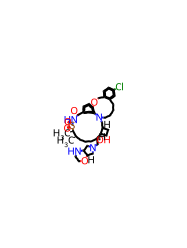 C[C@@H]1[C@@H](C)CCC[C@@](O)(CN2CC3NCCO[C@H]3C2)[C@@H]2CC[C@H]2CN2CCCCc3cc(Cl)ccc3COc3ccc(cc32)C(=O)NS1(=O)=O